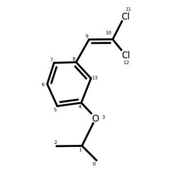 CC(C)Oc1cccc(C=C(Cl)Cl)c1